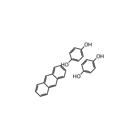 Oc1ccc(O)cc1.Oc1ccc(O)cc1.c1ccc2cc3ccccc3cc2c1